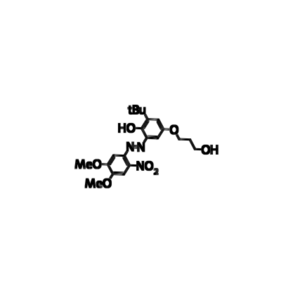 COc1cc(N=Nc2cc(OCCCO)cc(C(C)(C)C)c2O)c([N+](=O)[O-])cc1OC